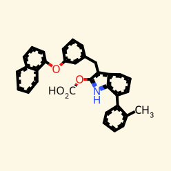 Cc1ccccc1-c1cccc2c(Cc3cccc(Oc4cccc5ccccc45)c3)c(OC(=O)O)[nH]c12